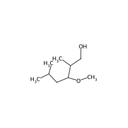 COC(CC(C)C)C(C)CO